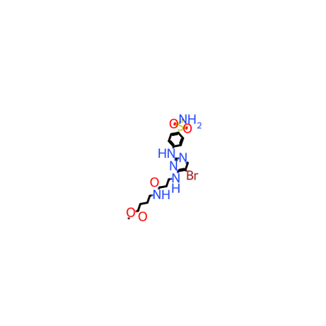 COC(=O)CCCNC(=O)CCNc1nc(Nc2ccc(S(N)(=O)=O)cc2)ncc1Br